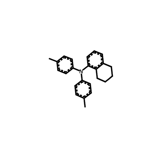 Cc1ccc(N(c2ccc(C)cc2)c2cccc3c2CCCC3)cc1